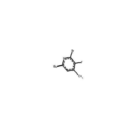 Cc1cc(C(C)(C)C)nc(Br)c1F